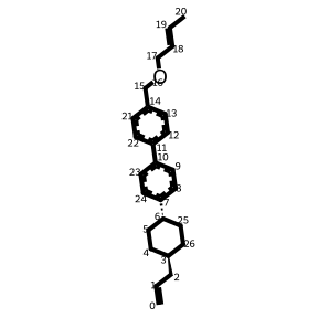 C=CC[C@H]1CC[C@H](c2ccc(-c3ccc(COCC=CC)cc3)cc2)CC1